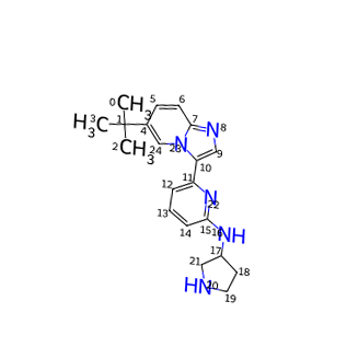 CC(C)(C)c1ccc2ncc(-c3cccc(NC4CCNC4)n3)n2c1